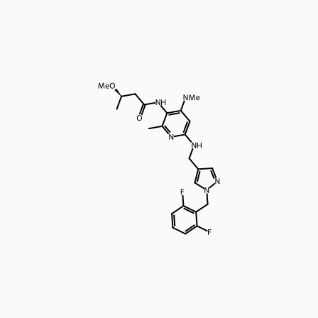 CNc1cc(NCc2cnn(Cc3c(F)cccc3F)c2)nc(C)c1NC(=O)C[C@@H](C)OC